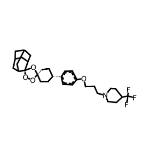 FC(F)(F)C1CCN(CCCOc2ccc([C@H]3CC[C@]4(CC3)OO[C@]3(O4)C4CC5CC(C4)CC3C5)cc2)CC1